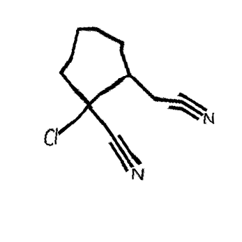 N#CC1CCCC1(Cl)C#N